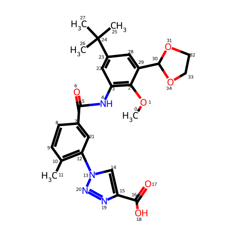 COc1c(NC(=O)c2ccc(C)c(-n3cc(C(=O)O)nn3)c2)cc(C(C)(C)C)cc1C1OCCO1